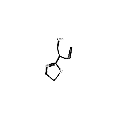 C=CC(CO)C1=NCCO1